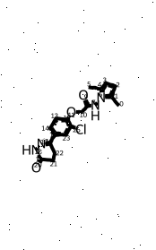 Cc1ccc(C)n1NC(=O)COc1ccc(C2=NNC(=O)CC2)cc1Cl